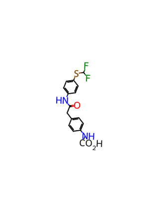 O=C(O)Nc1ccc(CC(=O)Nc2ccc(SC(F)F)cc2)cc1